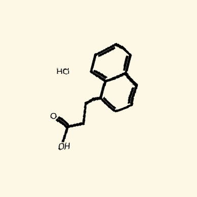 Cl.O=C(O)CCc1cccc2ccccc12